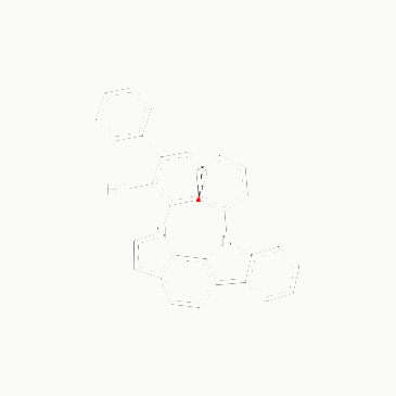 Sc1c(-c2ccccc2)cccc1-n1ccc2ccc3c4ccccc4n(-c4ccccc4)c3c21